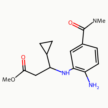 CNC(=O)c1ccc(N)c(NC(CC(=O)OC)C2CC2)c1